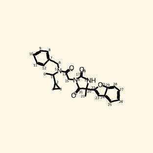 CC(C1CC1)N(Cc1ccccc1)C(=O)CN1C(=O)NC(C)(c2cc3ccccc3o2)C1=O